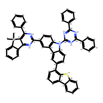 C[Si]1(C)c2ccccc2-c2nc(-c3ccc4c(c3)c3cc(-c5cccc6c5sc5ccccc56)ccc3n4-c3nc(-c4ccccc4)nc(-c4ccccc4)n3)nc(-c3ccccc3)c21